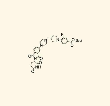 CC(C)(C)OC(=O)c1ccc(N2CCC(CN3CCN(c4ccc5c(c4)C(=O)N(C4CCC(=O)NC4=O)C5=O)CC3)CC2)c(F)c1